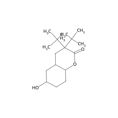 CC(C)(C)C1(C(C)(C)C)CC2CC(O)CCC2OC1=O